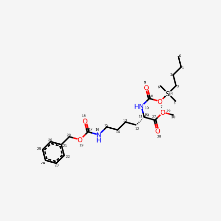 CCCC[Si](C)(C)OC(=O)N[C@@H](CCCCNC(=O)OCc1ccccc1)C(=O)OC